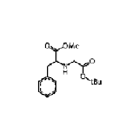 COC(=O)C(Cc1ccccc1)NCC(=O)OC(C)(C)C